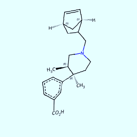 C[C@H]1CN(CC2C[C@H]3C=C[C@@H]2C3)CC[C@@]1(C)c1cccc(C(=O)O)c1